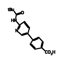 CC(C)(C)C(=O)Nc1ccc(-c2ccc(C(=O)O)cc2)cn1